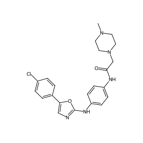 CN1CCN(CC(=O)Nc2ccc(Nc3ncc(-c4ccc(Cl)cc4)o3)cc2)CC1